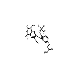 CCN1C(=O)OC(C)(C)c2cc(C)c(-c3cc(C=CC(=O)O)ccc3OC(F)(F)F)cc21